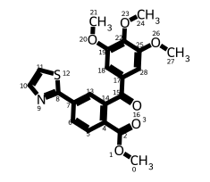 COC(=O)c1ccc(-c2nccs2)cc1C(=O)c1cc(OC)c(OC)c(OC)c1